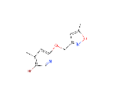 Cc1cc(COc2cc(C)c(Br)cn2)no1